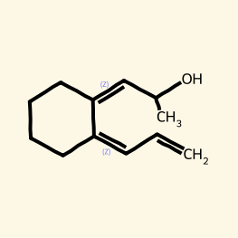 C=C/C=C1/CCCC/C1=C/C(C)O